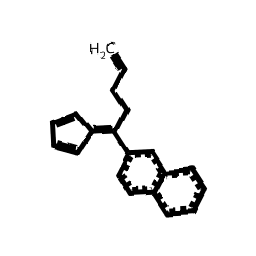 C=CCCC(=C1C=CC=C1)c1ccc2ccccc2c1